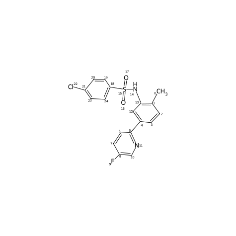 Cc1ccc(-c2ccc(F)cn2)cc1NS(=O)(=O)c1ccc(Cl)cc1